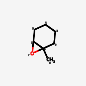 CC12CCCC[C]1O2